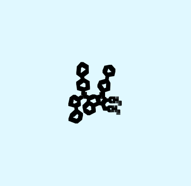 C=Cc1c(C)n(-c2ccc(-c3ccccc3)cc2)c2cc(N(c3ccc(-c4ccccc4)cc3)c3cccc(-c4ccccc4)c3)c3ccccc3c12